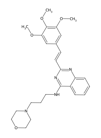 COc1cc(C=Cc2nc(NCCCN3CCOCC3)c3ccccc3n2)cc(OC)c1OC